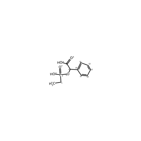 CCP(=O)(O)OC(C(=O)O)c1ccccc1